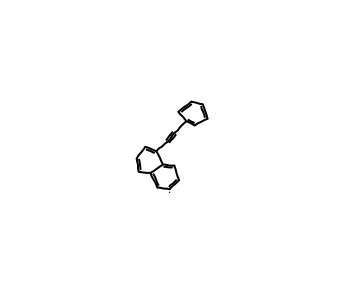 C(#Cc1cccc2c[c]ccc12)c1ccccc1